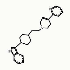 C1=C(c2ccccn2)CCN(CCC2CCC(c3c[nH]c4ccccc34)CC2)C1